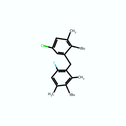 Cc1cc(Cl)cc(Cc2c(F)cc(C)c(C(C)(C)C)c2C)c1C(C)(C)C